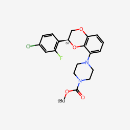 CC(C)(C)OC(=O)N1CCN(c2cccc3c2O[C@@H](c2ccc(Cl)cc2F)CO3)CC1